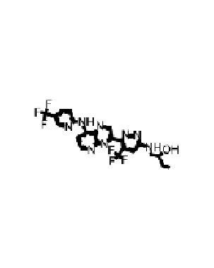 CCC(O)CNc1cc(C(F)(F)F)c(-c2cnc3c(Nc4ccc(C(F)(F)F)cn4)ccnc3n2)nn1